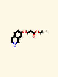 CCOC(=O)CCOC1=CCC2CCNCC2=C1